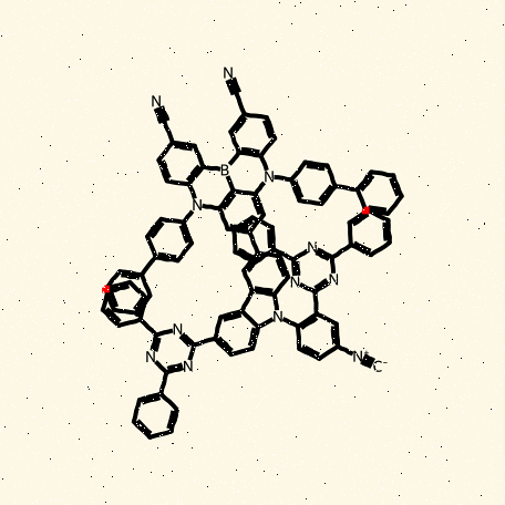 [C-]#[N+]c1ccc(-n2c3ccc(-c4cc5c6c(c4)N(c4ccc(-c7ccccc7)cc4)c4ccc(C#N)cc4B6c4cc(C#N)ccc4N5c4ccc(-c5ccccc5)cc4)cc3c3cc(-c4nc(-c5ccccc5)nc(-c5ccccc5)n4)ccc32)c(-c2nc(-c3ccccc3)nc(-c3ccccc3)n2)c1